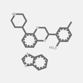 Cc1ccc(S(=O)(=O)O)c(C2COc3c(cccc3C3CCNCC3)O2)c1.c1ccc2scnc2c1